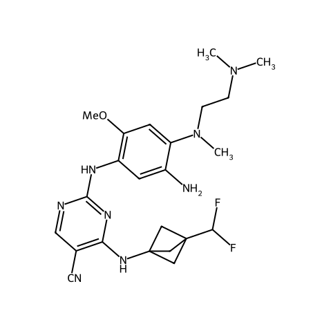 COc1cc(N(C)CCN(C)C)c(N)cc1Nc1ncc(C#N)c(NC23CC(C(F)F)(C2)C3)n1